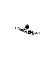 CCOC(Cc1ccc(OCCN(CCCOCC(F)(F)F)C(=O)Oc2ccc(Cl)cc2)cc1)C(=O)O